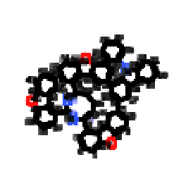 C1=C(c2cccc3oc4ccc(-c5ccc6c(c5)c5ccccc5n6-c5ccccc5)cc4c23)/N=C(c2cccc3oc4ccccc4c23)\N=C(\c2cccc3oc4ccccc4c23)CC\1